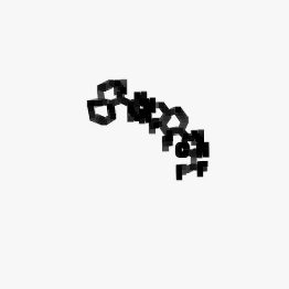 Fc1c(Cn2nnc(-c3nccc4ccccc34)n2)ccc(-c2nnc(C(F)F)o2)c1F